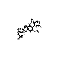 BC(O)(Oc1cc(C)n(-c2cc(Cl)ncc2C)c(=O)c1Cl)c1ncc(F)cc1F